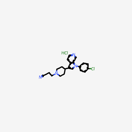 Cl.N#CCCN1CCC(c2cn(-c3ccc(Cl)cc3)c3cnccc23)CC1